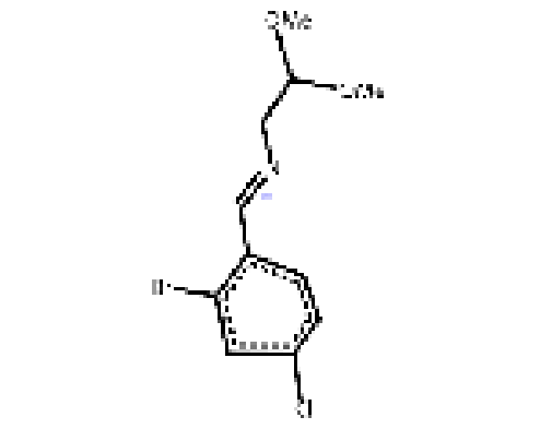 COC(C/N=C/c1ccc(Cl)cc1Br)OC